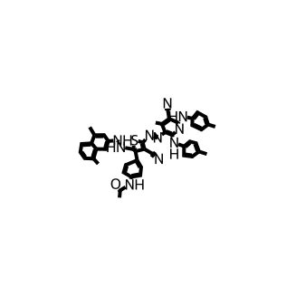 CC(=O)Nc1ccc(-c2c(NNc3cc(C)c4cccc(C)c4c3)sc(N=Nc3c(Nc4ccc(C)cc4)nc(Nc4ccc(C)cc4)c(C#N)c3C)c2C#N)cc1